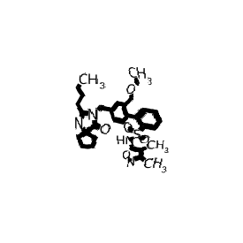 CCCCC1=NC2(CCCC2)C(=O)N1Cc1ccc(-c2ccccc2S(=O)(=O)Nc2onc(C)c2C)c(COCC)c1